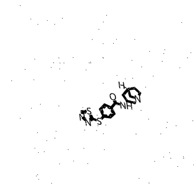 O=C(N[C@@H]1C[C@H]2CCN(C2)C1)c1ccc(Sc2nncs2)cc1